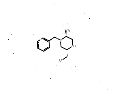 CC[C@@H]1CN(Cc2ccccc2)[C@@H](C)CN1